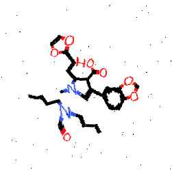 CCCCN(C=O)CCCC.CN1CC(c2ccc3c(c2)OCO3)C(C(=O)O)C1CCC1OC=CO1